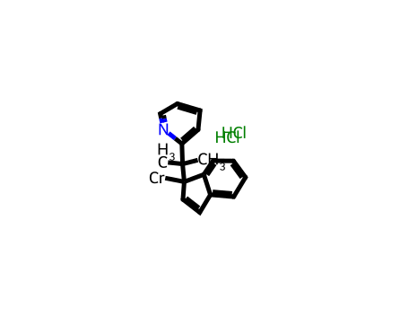 CC(C)(c1ccccn1)[C]1([Cr])C=Cc2ccccc21.Cl.Cl